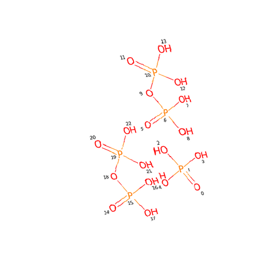 O=P(O)(O)O.O=P(O)(O)OP(=O)(O)O.O=P(O)(O)OP(=O)(O)O